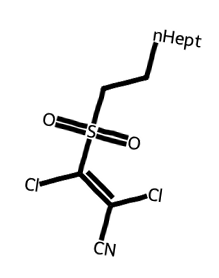 CCCCCCCCCS(=O)(=O)C(Cl)=C(Cl)C#N